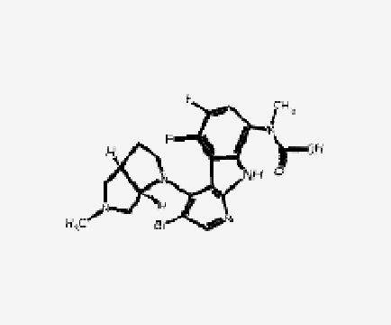 CN1C[C@@H]2CCN(c3c(Br)cnc4[nH]c5c(N(C)C(=O)O)cc(F)c(F)c5c34)[C@@H]2C1